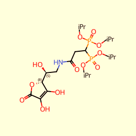 CC(C)OP(=O)(OC(C)C)C(CC(=O)NC[C@H](O)[C@H]1OC(=O)C(O)=C1O)P(=O)(OC(C)C)OC(C)C